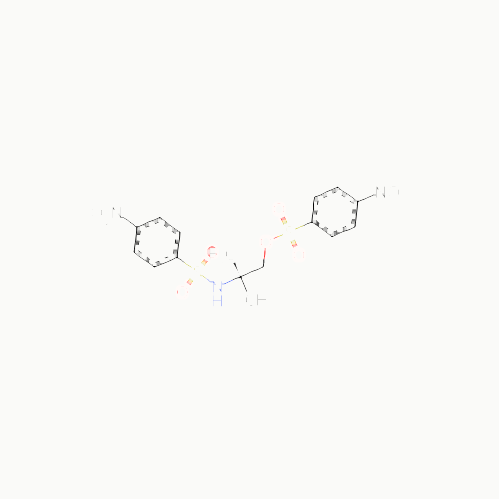 C[C@@](COS(=O)(=O)c1ccc([N+](=O)[O-])cc1)(NS(=O)(=O)c1ccc([N+](=O)[O-])cc1)C(F)(F)F